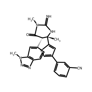 CN1C(=N)N[C@](C)(c2cc(-c3cccc(C#N)c3)cs2)[C@H](c2ccc3nnn(C)c3c2)C1=O